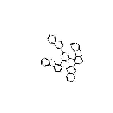 C1=Cc2ccc(-c3ccc4oc5ccccc5c4c3-c3nc(-c4ccc5ccccc5c4)nc(-c4cccc5c4sc4ccccc45)n3)cc2CC1